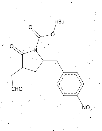 CCCCOC(=O)N1C(=O)C(CC=O)CC1Cc1ccc([N+](=O)[O-])cc1